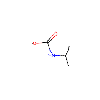 CC(C)NC([O])=O